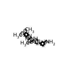 COc1cc2nc(NC(=O)N3CCN(c4cccc(CN)c4)CC3)c(OC)nc2cc1OC